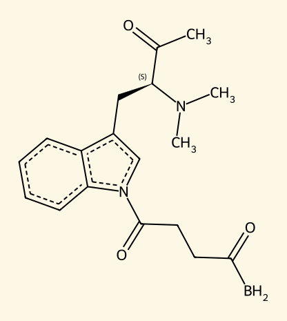 BC(=O)CCC(=O)n1cc(C[C@@H](C(C)=O)N(C)C)c2ccccc21